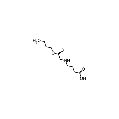 CCCCOC(=O)CNCCCC(=O)O